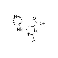 CSc1nc(Nc2ccncc2)cc(C(=O)O)n1